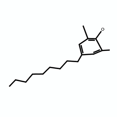 CCCCCCCCCc1cc(C)c([O])c(C)c1